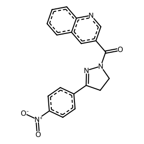 O=C(c1cnc2ccccc2c1)N1CCC(c2ccc([N+](=O)[O-])cc2)=N1